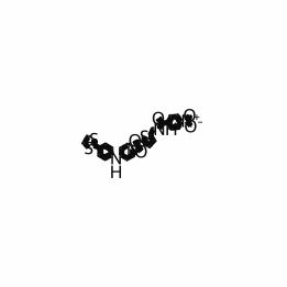 O=C(NCc1ccc(S(=O)(=O)N2CCC(Nc3ccc(C4SCCS4)cc3)CC2)s1)c1ccc([N+](=O)[O-])cc1